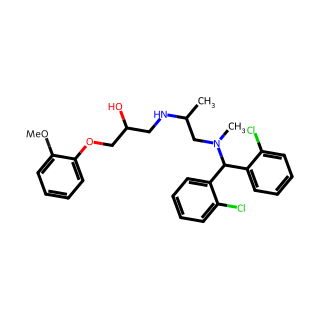 COc1ccccc1OCC(O)CNC(C)CN(C)C(c1ccccc1Cl)c1ccccc1Cl